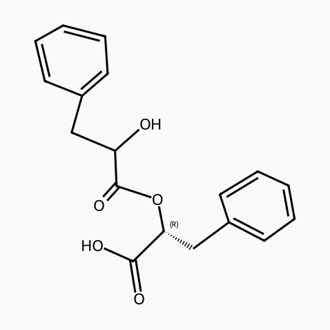 O=C(O[C@H](Cc1ccccc1)C(=O)O)C(O)Cc1ccccc1